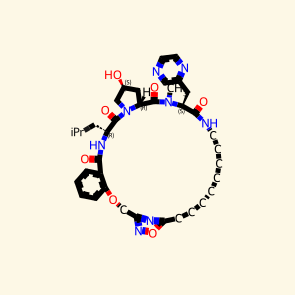 CC(C)C[C@H]1NC(=O)c2ccccc2OCc2noc(n2)CCCCCCCCNC(=O)[C@H](Cc2cnccn2)N(C)C(=O)[C@H]2C[C@H](O)CN2C1=O